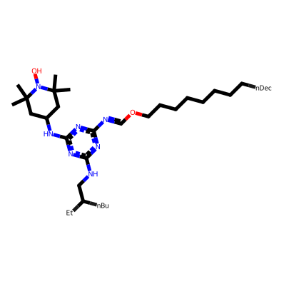 CCCCCCCCCCCCCCCCCCOC=Nc1nc(NCC(CC)CCCC)nc(NC2CC(C)(C)N(O)C(C)(C)C2)n1